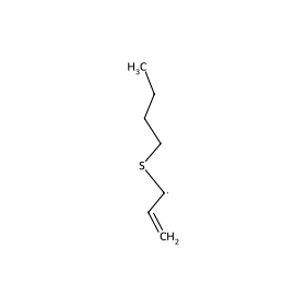 C=C[CH]SCCCC